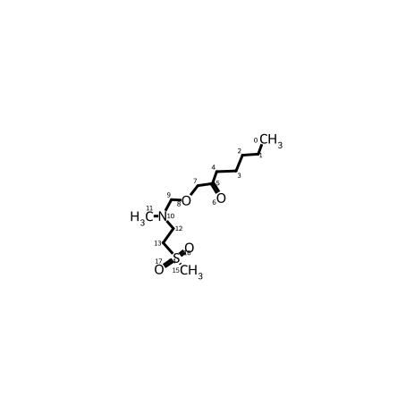 CCCCCC(=O)COCN(C)CCS(C)(=O)=O